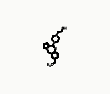 CCc1ccc2c(c1)Cn1cccc1C(N1CCN(CCO)CC1)=N2